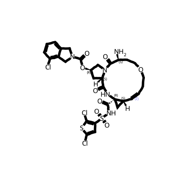 N[C@H]1CCOCC/C=C\[C@@H]2C[C@@]2(C(=O)NS(=O)(=O)c2cc(Cl)sc2Cl)NC(=O)[C@@H]2C[C@@H](OC(=O)N3Cc4cccc(Cl)c4C3)CN2C1=O